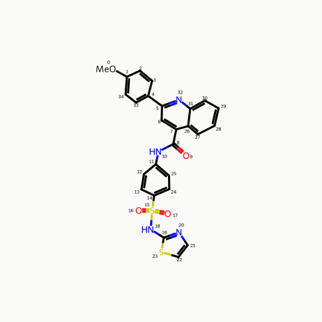 COc1ccc(-c2cc(C(=O)Nc3ccc(S(=O)(=O)Nc4nccs4)cc3)c3ccccc3n2)cc1